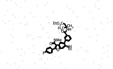 CCNc1cc2oc(-c3ccc(F)cc3)c(C(=O)NC)c2cc1-c1cccc(C(=O)NC(C)(C)CC(=O)OCC)c1